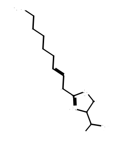 CCCCCCCCCCCCCCC=CCC1=NC(C(C)N)CN1